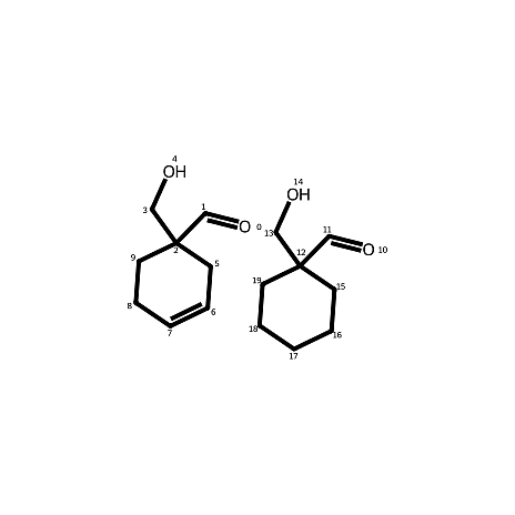 O=CC1(CO)CC=CCC1.O=CC1(CO)CCCCC1